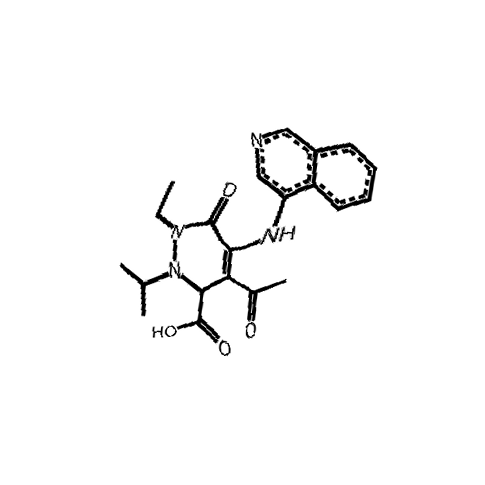 CCN1C(=O)C(Nc2cncc3ccccc23)=C(C(C)=O)C(C(=O)O)N1C(C)C